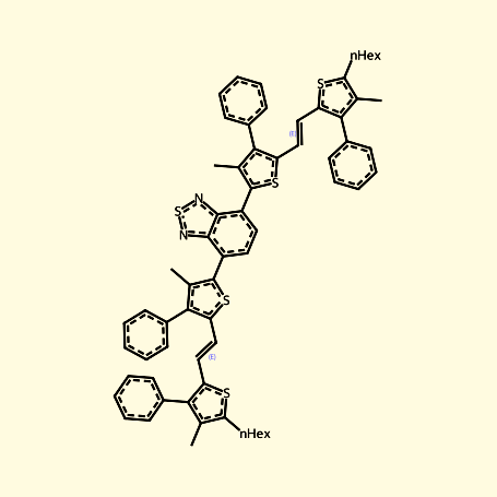 CCCCCCc1sc(/C=C/c2sc(-c3ccc(-c4sc(/C=C/c5sc(CCCCCC)c(C)c5-c5ccccc5)c(-c5ccccc5)c4C)c4nsnc34)c(C)c2-c2ccccc2)c(-c2ccccc2)c1C